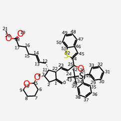 C=C1C[C@H](OC2CCCCO2)[C@H](CC=CCCCC(=O)OC)[C@H]1C=CC(O[Si](c1ccccc1)(c1ccccc1)C(C)(C)C)c1cc2ccccc2s1